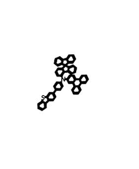 c1ccc2c(c1)-c1ccccc1C21c2ccccc2-c2c(N(c3ccc(-c4ccc5c(c4)sc4ccccc45)cc3)c3ccc4c5ccccc5c5ccccc5c4c3)cccc21